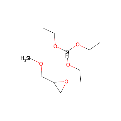 CCO[SiH](OCC)OCC.[SiH3]OCC1CO1